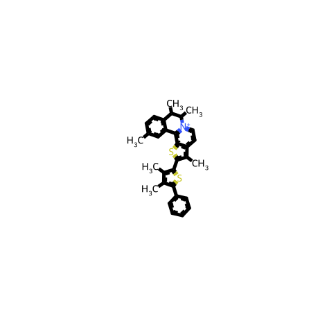 Cc1ccc2c(c1)-c1c3sc(-c4sc(-c5ccccc5)c(C)c4C)c(C)c3cc[n+]1C(C)C2C